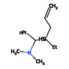 C=CC[SiH](CC)C(CCC)N(C)C